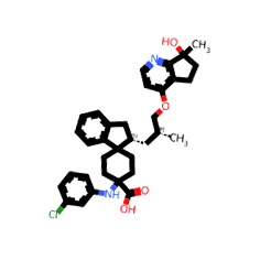 C[C@@H](COc1ccnc2c1CCC2(C)O)C[C@H]1Cc2ccccc2C12CCC(Nc1cccc(Cl)c1)(C(=O)O)CC2